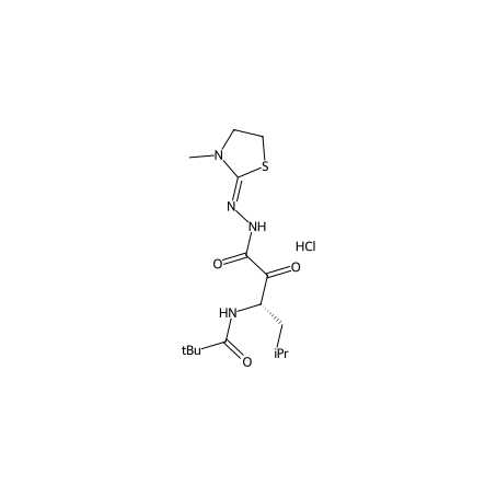 CC(C)C[C@H](NC(=O)C(C)(C)C)C(=O)C(=O)N/N=C1\SCCN1C.Cl